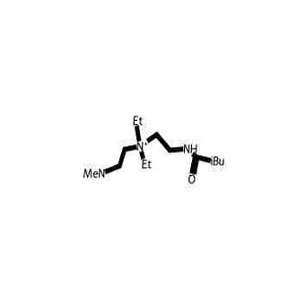 CCC(C)C(=O)NCC[N+](CC)(CC)CCNC